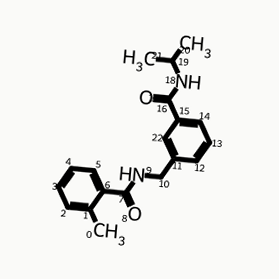 Cc1ccccc1C(=O)NCc1cccc(C(=O)NC(C)C)c1